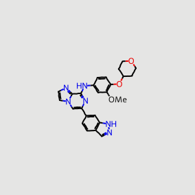 COc1cc(Nc2nc(-c3ccc4cn[nH]c4c3)cn3ccnc23)ccc1OC1CCOCC1